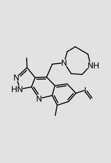 C=Ic1cc(C)c2nc3[nH]nc(C)c3c(CN3CCCNCC3)c2c1